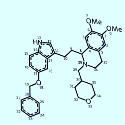 COc1cc2c(cc1OC)C(CCc1c[nH]c3ccc(OCc4ccccc4)cc13)N(CC1CCOCC1)CC2